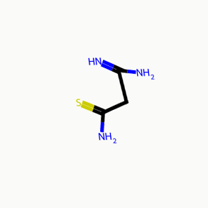 N=C(N)CC(N)=S